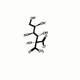 CC(=O)[C@](O)(C(=O)Cl)[C@@H](O)[C@@H](O)[C@H](O)CO